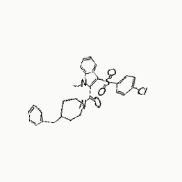 Cn1c(C(=O)N2CCC(Cc3ccccc3)CC2)c(S(=O)(=O)c2ccc(Cl)cc2)c2ccccc21